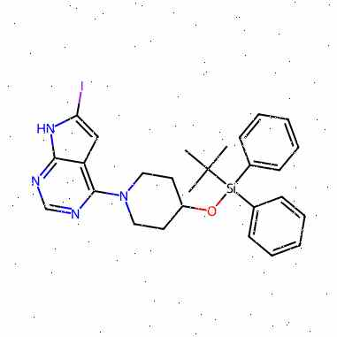 CC(C)(C)[Si](OC1CCN(c2ncnc3[nH]c(I)cc23)CC1)(c1ccccc1)c1ccccc1